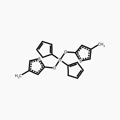 Cc1csc([O][Zr]([O]c2cc(C)cs2)([C]2=CC=CC2)[C]2=CC=CC2)c1